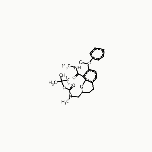 CNC(=O)c1c([S+]([O-])c2ccccc2)ccc2c1OC(CN(C)C(=O)OC(C)(C)C)CC2